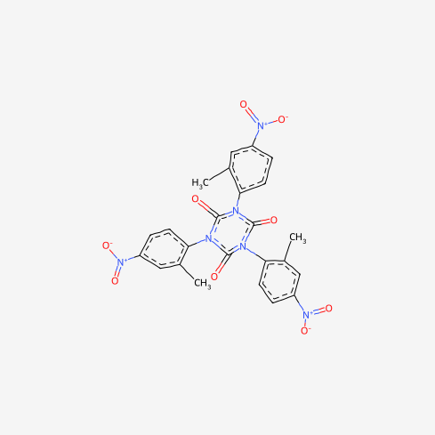 Cc1cc([N+](=O)[O-])ccc1-n1c(=O)n(-c2ccc([N+](=O)[O-])cc2C)c(=O)n(-c2ccc([N+](=O)[O-])cc2C)c1=O